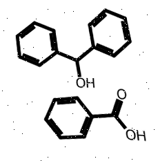 O=C(O)c1ccccc1.OC(c1ccccc1)c1ccccc1